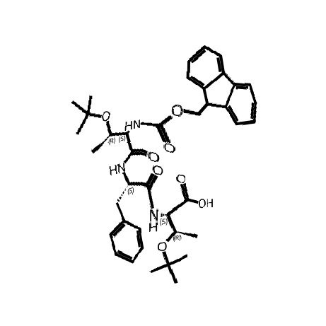 C[C@@H](OC(C)(C)C)[C@H](NC(=O)[C@H](Cc1ccccc1)NC(=O)[C@@H](NC(=O)OCC1c2ccccc2-c2ccccc21)[C@@H](C)OC(C)(C)C)C(=O)O